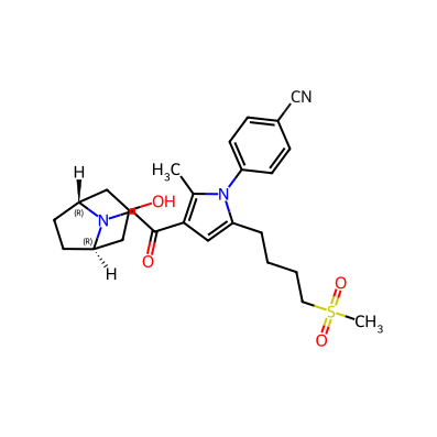 Cc1c(C(=O)CN2[C@@H]3CC[C@@H]2CC(O)C3)cc(CCCCS(C)(=O)=O)n1-c1ccc(C#N)cc1